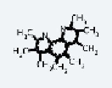 C=c1c(=C)c2c(C)c(C)c(C)nc2c2nc(C)c(C)c(C)c12